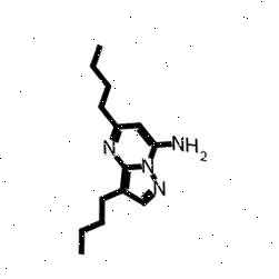 CCCCc1cc(N)n2ncc(CCCC)c2n1